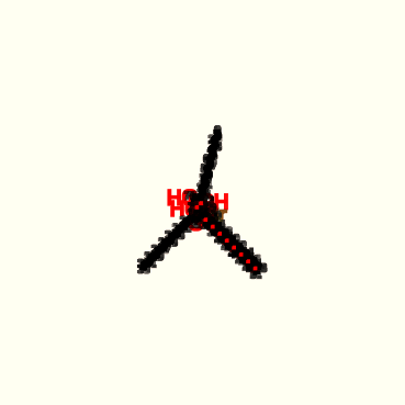 CCCCCCCCCCCCCCCCO[C@@](CCCCCCCCCCCCCCCC)(C(=O)CCCCCCCCCCCCCCCC)C(CCCCCCCCCCCCCCCC)(OBr)C(O)C(O)CO